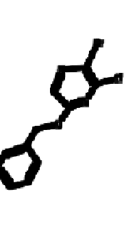 Clc1nc(OCc2ccccc2)cnc1Br